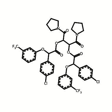 O=C(OC(C(=O)N1CCCC1)C(OC(=O)C(Oc1cccc(C(F)(F)F)c1)c1ccc(Cl)cc1)C(=O)N1CCCC1)C(Oc1cccc(C(F)(F)F)c1)c1ccc(Cl)cc1